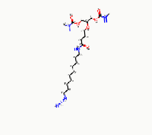 CNC(=O)OCC(COC(=O)NC)OCCCC(=O)NCCCCCCCCCCN=[N+]=[N-]